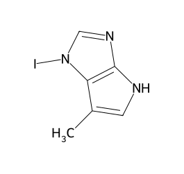 Cc1c[nH]c2ncn(I)c12